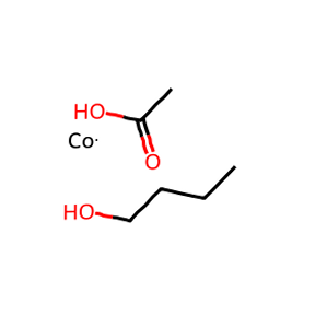 CC(=O)O.CCCCO.[Co]